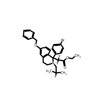 CCOC(=O)C(F)(F)C1(c2ccc(Br)cc2)c2ccc(OCc3ccccc3)cc2CCN1CC(C)(C)F